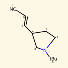 CC(C)(C)N1CCC(C=CC#N)C1